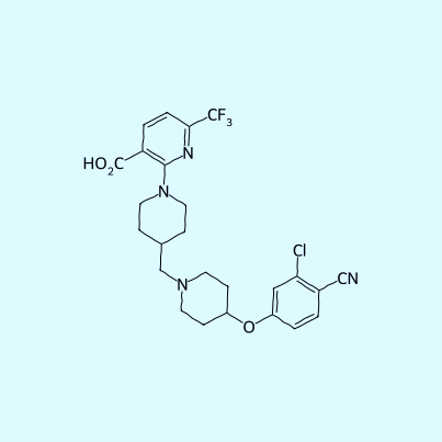 N#Cc1ccc(OC2CCN(CC3CCN(c4nc(C(F)(F)F)ccc4C(=O)O)CC3)CC2)cc1Cl